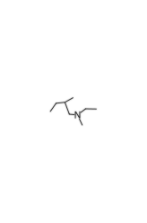 CCC(C)CN(C)CC